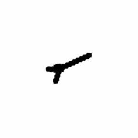 CCCCCCCCCCCCCCCCCn1cc[n+](CCCCC)c1CCCCCCC